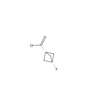 O=C(Cl)[C@]12C[C@](F)(C1)C2